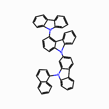 c1ccc2c(-n3c4ccccc4c4ccc(-n5c6ccccc6c6c(-n7c8ccccc8c8ccccc87)cccc65)cc43)cccc2c1